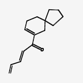 C=CC=CC(=O)C1=CCCC2(CCCC2)C1